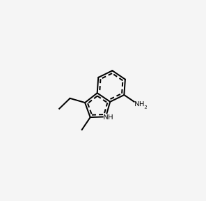 CCc1c(C)[nH]c2c(N)cccc12